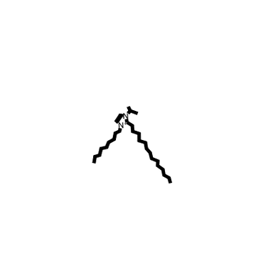 CCCCCCCCCCCCCCc1n(C(C)C)cc[n+]1CCCCCCCCC